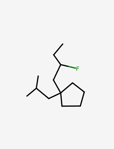 CCC(F)CC1(CC(C)C)CCCC1